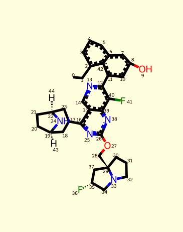 CCc1cccc2cc(O)cc(-c3ncc4c(C5C[C@H]6CC[C@@H](C5)N6)nc(OC[C@@]56CCCN5C[C@H](F)C6)nc4c3F)c12